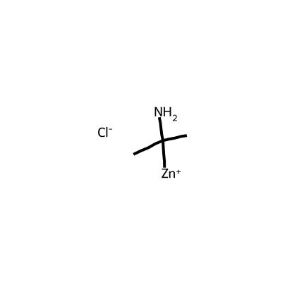 C[C](C)(N)[Zn+].[Cl-]